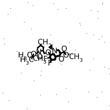 C=C1CC(COc2c(F)c(F)cc3c(=O)c(C(=O)OCC)cn(C4CC4)c23)N(C(=O)OC(C)(C)C)C1